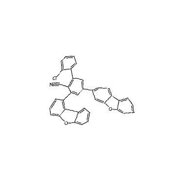 N#Cc1c(-c2ccccc2Cl)cc(-c2ccc3c(c2)oc2ccccc23)cc1-c1cccc2oc3ccccc3c12